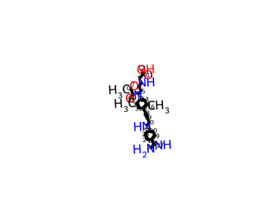 CCC(=O)N(CC(=O)NCC(=O)O)c1cc(C)c(C#CCNc2ccc(C(=N)N)cc2)cc1C